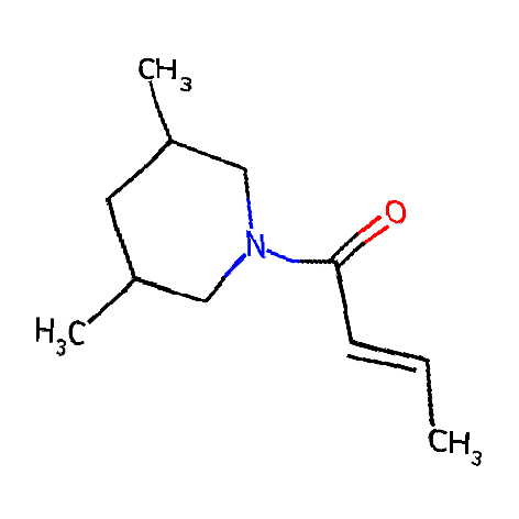 CC=CC(=O)N1CC(C)CC(C)C1